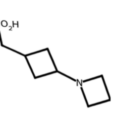 O=C(O)CC1CC(N2CCC2)C1